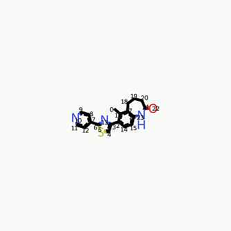 Cc1c(-c2csc(-c3ccncc3)n2)ccc2c1CCCC(=O)N2